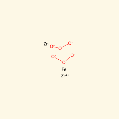 [Fe].[O-]O[O-].[O-]O[O-].[Zn].[Zr+4]